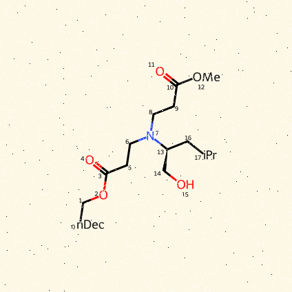 CCCCCCCCCCCOC(=O)CCN(CCC(=O)OC)[C@H](CO)CC(C)C